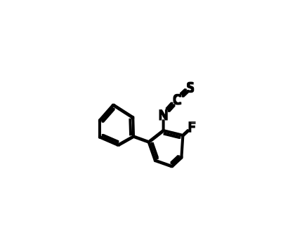 Fc1cccc(-c2ccccc2)c1N=C=S